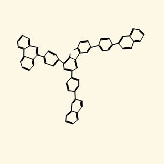 c1ccc2cc(-c3ccc(-c4ccc5oc6c(-c7ccc(-c8cc9ccccc9c9ccccc89)cc7)cc(-c7ccc(-c8ccc9ccccc9c8)cc7)cc6c5c4)cc3)ccc2c1